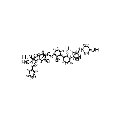 Cc1c(-c2nc(CN3CCC(O)CC3)no2)cccc1-c1cccc(COc2ccc(C(OCc3cccnc3)[C@](N)(CO)C(=O)O)cc2Cl)c1Br